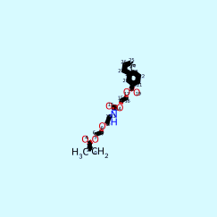 C=C(C)C(=O)OCCOCCNC(=O)OCCOC(=O)c1ccc2ccccc2c1